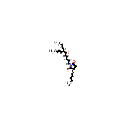 CCCCCCC1CC(=O)N(CCCCCC(=O)C(CCCC)CCCC)C1=O